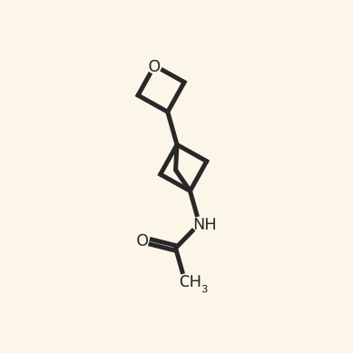 CC(=O)NC12CC(C3COC3)(C1)C2